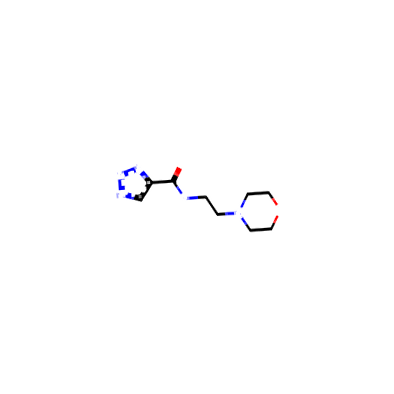 O=C(NCCN1CCOCC1)c1c[nH]nn1